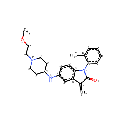 C=C1C(=O)N(c2ccccc2C)c2ccc(NC3CCN(CCOC)CC3)cc21